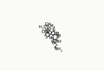 CC(C)(C)c1nnc(-c2cc3c(cc2F)S(=O)(=O)C[C@H](NC(=O)CCN)C(=O)N3Cc2ccc(Cl)cc2)o1